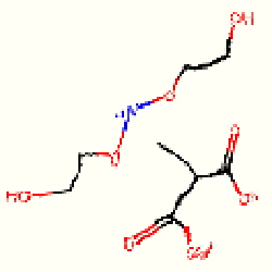 CC(C(=O)O)C(=O)O.OCCONOCCO